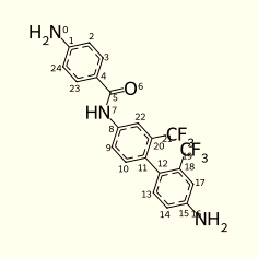 Nc1ccc(C(=O)Nc2ccc(-c3ccc(N)cc3C(F)(F)F)c(C(F)(F)F)c2)cc1